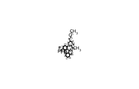 CCOCCC1=CN=C2[C@H](C)N=C(c3c(F)cccc3F)c3c(ccc(C(F)(F)F)c3Cl)N2C1